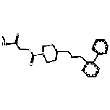 CNC(=O)COC(=O)N1CCC(CCCc2ccccc2-c2ccccc2)CC1